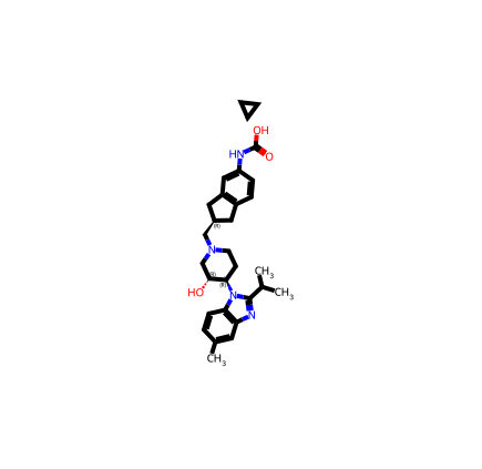 C1CC1.Cc1ccc2c(c1)nc(C(C)C)n2[C@@H]1CCN(C[C@@H]2Cc3ccc(NC(=O)O)cc3C2)C[C@H]1O